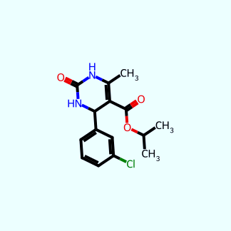 CC1=C(C(=O)OC(C)C)C(c2cccc(Cl)c2)NC(=O)N1